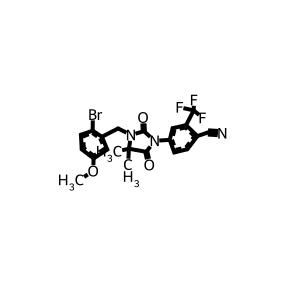 COc1ccc(Br)c(CN2C(=O)N(c3ccc(C#N)c(C(F)(F)F)c3)C(=O)C2(C)C)c1